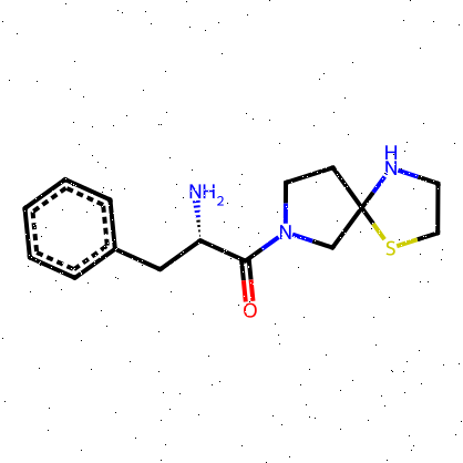 N[C@@H](Cc1ccccc1)C(=O)N1CCC2(C1)NCCS2